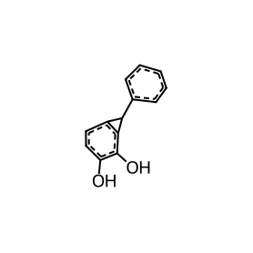 Oc1ccc2c(c1O)C2c1ccccc1